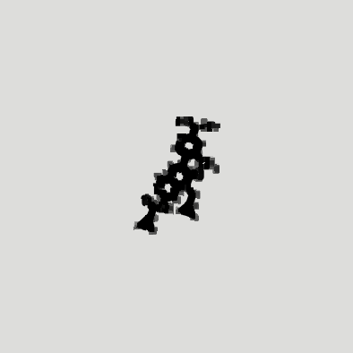 CCC[C@@H](O)c1cc(C)c(-c2cc3cnc(NC(=O)C4CC4)cc3n(CC3CC3)c2=O)cn1